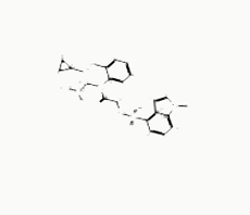 Cc1ccccc1N(C(=O)CNS(=O)(=O)c1cccc2c1ccn2C)[C@@H](CC1CC1)B(O)O